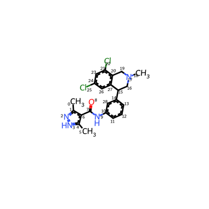 Cc1n[nH]c(C)c1C(=O)Nc1cccc(C2CN(C)Cc3c(Cl)cc(Cl)cc32)c1